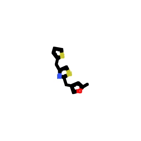 Cc1cc(Cc2nc(Cc3cccs3)cs2)co1